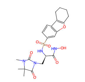 CN1C(=O)N(C[C@@H](NS(=O)(=O)c2ccc3c4c(oc3c2)CCCC4)C(=O)NO)C(=O)C1(C)C